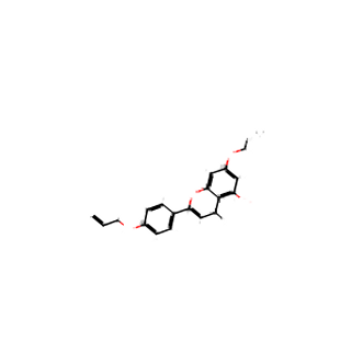 C=CCOc1ccc(C2=CC(C=O)c3c(O)cc(OCOC)cc3O2)cc1